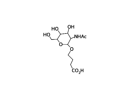 CC(=O)NC1C(OCCCC(=O)O)OC(CO)C(O)C1O